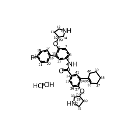 Cl.Cl.O=C(Nc1ccc(O[C@H]2CCNC2)c(-c2ccc(F)cc2)c1)c1ccc(O[C@H]2CCNC2)c(C2=CCCCC2)c1